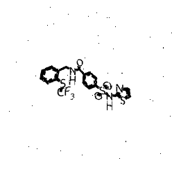 O=C(NCc1ccccc1SC(F)(F)F)c1ccc(S(=O)(=O)Nc2nccs2)cc1